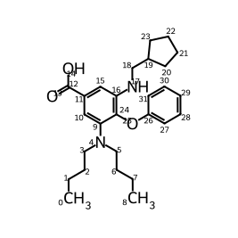 CCCCN(CCCC)c1cc(C(=O)O)cc(NCC2CCCC2)c1Oc1ccccc1